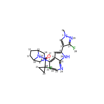 Cn1cc(-c2cc3c(N4CC5CCC(C4)N5C(=O)C4(F)CC4)ccnc3[nH]2)c(F)n1